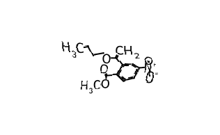 C=C(OCCCC)c1cc([N+](=O)[O-])ccc1C(=O)OC